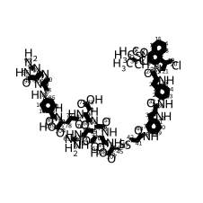 CC(C)(C)[Si](C)(C)Oc1cc2c(c3ccccc13)C(CCl)CN2C(=O)c1cc2cc(NC(=O)c3cc4cc(NC(=O)CCSSC[C@H](NC(=O)[C@H](CC(=O)O)NC(=O)[C@H](CCCNC(=N)N)NC(=O)[C@H](CC(=O)O)NC(=O)CC[C@H](NC(=O)c5ccc(NCc6cnc7nc(N)[nH]c(=O)c7n6)cc5)C(=O)O)C(=O)O)ccc4[nH]3)ccc2[nH]1